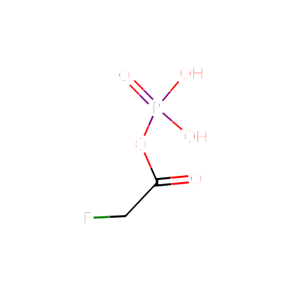 O=C(CF)OP(=O)(O)O